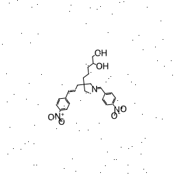 CCC(CC=Cc1ccc([N+](=O)[O-])cc1)(CCCC(O)CO)C/N=C/c1ccc([N+](=O)[O-])cc1